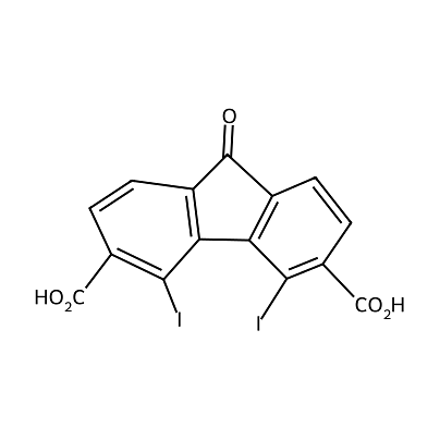 O=C(O)c1ccc2c(c1I)-c1c(ccc(C(=O)O)c1I)C2=O